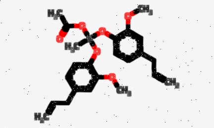 C=CCc1ccc(O[Si](C)(OC(C)=O)Oc2ccc(CC=C)cc2OC)c(OC)c1